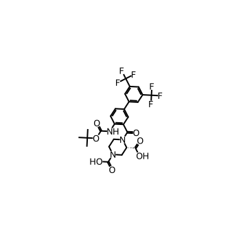 CC(C)(C)OC(=O)Nc1ccc(-c2cc(C(F)(F)F)cc(C(F)(F)F)c2)cc1C(=O)N1CCN(C(=O)O)C[C@H]1C(=O)O